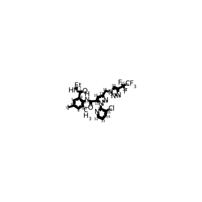 CCNC(=O)c1cc(I)cc(C)c1NC(=O)c1cc(Cn2cc(C(F)(F)C(F)(F)F)nn2)nn1-c1ncccc1Cl